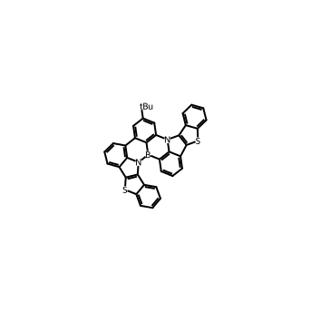 CC(C)(C)c1cc2c3c(c1)-n1c4c(cccc4c4sc5ccccc5c41)B3n1c3c-2cccc3c2sc3ccccc3c21